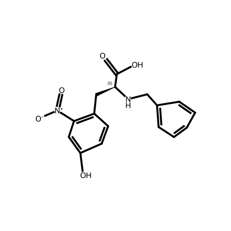 O=C(O)[C@H](Cc1ccc(O)cc1[N+](=O)[O-])NCc1ccccc1